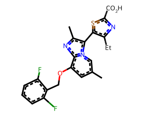 CCc1nc(C(=O)O)sc1-c1c(C)nc2c(OCc3c(F)cccc3F)cc(C)cn12